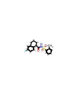 Cc1ccccc1S(=O)(=O)NC(=O)C1CCCc2cc(F)ccc21